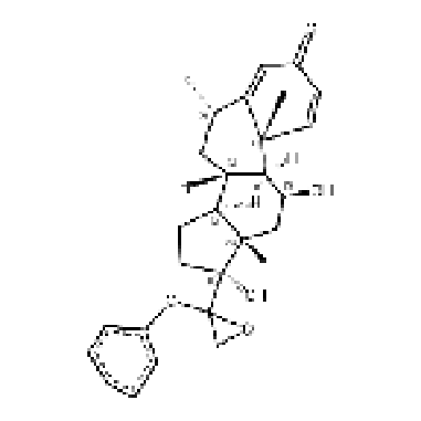 C[C@H]1C[C@@H]2[C@H]([C@@H](O)C[C@@]3(C)[C@H]2CC[C@]3(O)C2(Oc3ccccc3)CO2)[C@@]2(C)C=CC(=O)C=C12